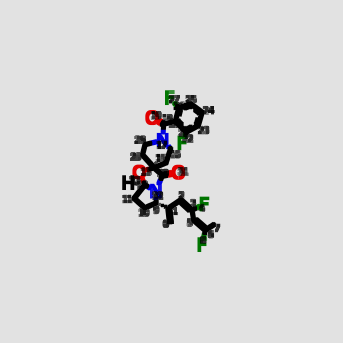 C=C(/C=C(F)\C=C(/C)F)[C@@H]1CC[C@H]2OC3(CCN(C(=O)c4c(F)cccc4F)CC3)C(=O)N21